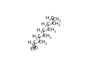 CCC(=O)OCC=C(C)CCC=C(C)CCC=C(C)CCC=C(C)CCC=C(C)CCC=C(C)CCC=C(C)CCC=C(C)CCC=C(C)C